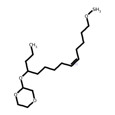 CCCC(CCCC/C=C\CCCCO[SiH3])OC1COCCO1